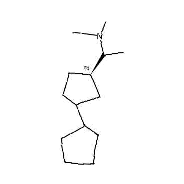 CC([C@@H]1CCC(C2CCCC2)C1)N(C)C